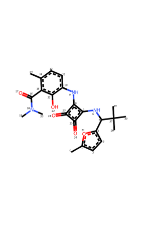 Cc1ccc(C(Nc2c(Nc3ccc(C)c(C(=O)N(C)C)c3O)c(=O)c2=O)C(C)(C)C)o1